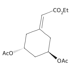 CCOC(=O)C=C1C[C@@H](OC(C)=O)C[C@H](OC(C)=O)C1